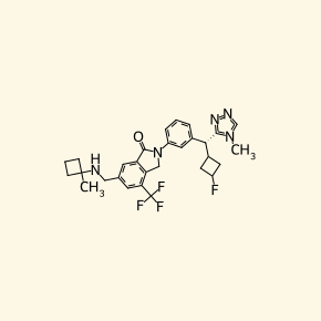 Cn1cnnc1[C@@H](c1cccc(N2Cc3c(cc(CNC4(C)CCC4)cc3C(F)(F)F)C2=O)c1)C1CC(F)C1